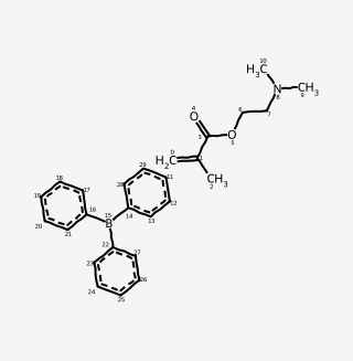 C=C(C)C(=O)OCCN(C)C.c1ccc(B(c2ccccc2)c2ccccc2)cc1